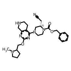 CN1CCCC1COc1nc2c(c(N3CCN(C(=O)OCc4ccccc4)[C@@H](CC#N)C3)n1)CCNC2